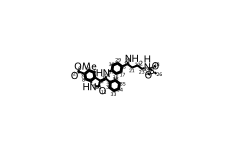 COC(=O)c1ccc2c(c1)NC(=O)C2=C(Nc1ccc(C(N)CCCNS(C)(=O)=O)cc1)c1ccccc1